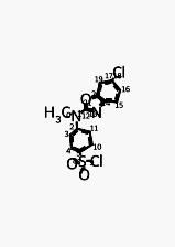 CN(c1ccc(S(=O)(=O)Cl)cc1)c1nc2ccc(Cl)cc2o1